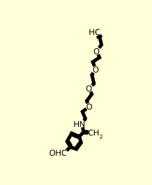 C#CCOCCOCCOCCOCCNC(=C)c1ccc(C=O)cc1